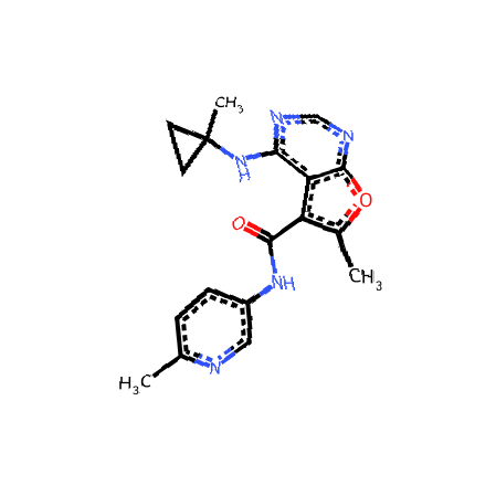 Cc1ccc(NC(=O)c2c(C)oc3ncnc(NC4(C)CC4)c23)cn1